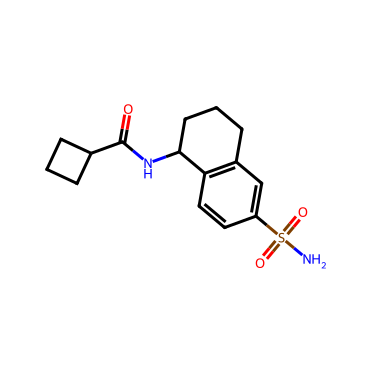 NS(=O)(=O)c1ccc2c(c1)CCCC2NC(=O)C1CCC1